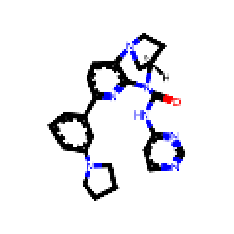 O=C(Nc1ccncn1)N1c2nc(-c3cccc(N4CCCC4)c3)ccc2N2CC[C@H]1C2